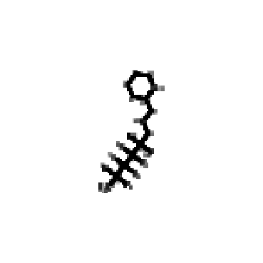 FC(F)(F)C(F)(F)C(F)(F)C(F)(F)C(F)(F)COCC1CCCCO1